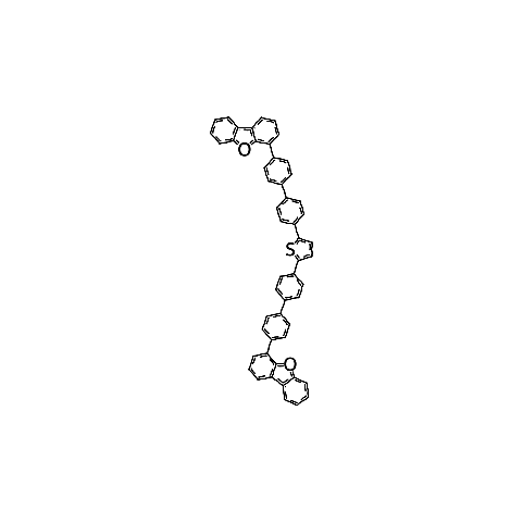 c1ccc2c(c1)oc1c(-c3ccc(-c4ccc(-c5ccc(-c6ccc(-c7ccc(-c8cccc9c8oc8ccccc89)cc7)cc6)s5)cc4)cc3)cccc12